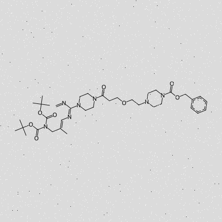 C=N/C(=N\C=C(/C)CN(C(=O)OC(C)(C)C)C(=O)OC(C)(C)C)N1CCN(C(=O)CCOCCN2CCN(C(=O)OCc3ccccc3)CC2)CC1